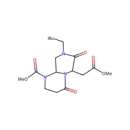 CCC(C)CN1CC2N(C(=O)OC)CCC(=O)N2C(CC(=O)OC)C1=O